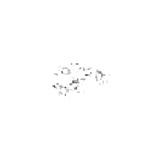 C[C@H](CC[C@@H](O[C@@H]1O[C@H](CO)[C@@H](O)[C@H](O)[C@H]1O[C@H]1O[C@@H](CO)[C@H](O)[C@@H](O)[C@@H]1O)C(C)(C)O)C1CC[C@@]2(C)C3CC=C4C(CC[C@H](O[C@@H]5O[C@H](CO)[C@@H](O[C@H]6O[C@H](CO)[C@@H](O)[C@H](O)[C@H]6O)[C@H](O)[C@H]5O)C4(C)C)[C@]3(C)[C@H](O)C[C@]12C